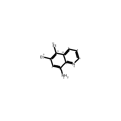 CCc1cc(N)c2ncccc2c1CC